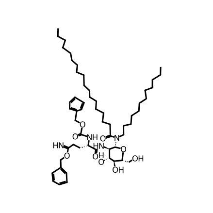 CCCCCCCCCCCCCCCCCC(=O)N(CCCCCCCCCCCC)[C@@H]1O[C@H](CO)[C@@H](O)[C@H](O)[C@H]1NC(=O)[C@H](CCC(=N)OCc1ccccc1)NC(=O)OCc1ccccc1